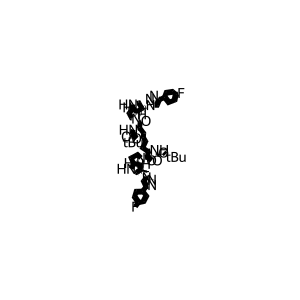 CC(C)(C)OC(=O)NC(CCCCC(NC(=O)OC(C)(C)C)C(=O)N1CC[C@H]2NC[C@H](Cn3cc(-c4ccc(F)cc4)nn3)[C@H]21)C(=O)N1CC[C@H]2NC[C@H](Cn3cc(-c4ccc(F)cc4)nn3)[C@H]21